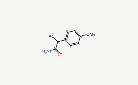 COc1ccc(C(C(C)=O)C(N)=O)cc1